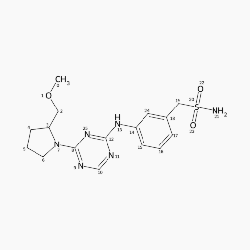 COCC1CCCN1c1ncnc(Nc2cccc(CS(N)(=O)=O)c2)n1